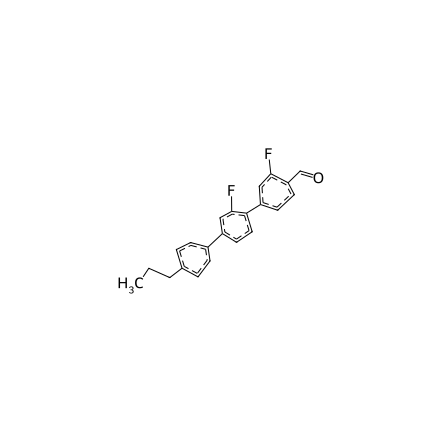 CCCc1ccc(-c2ccc(-c3ccc(C=O)c(F)c3)c(F)c2)cc1